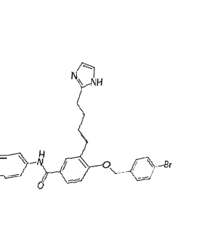 O=C(Nc1ccccc1)c1ccc(OCc2ccc(Br)cc2)c(CCCCc2ncc[nH]2)c1